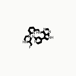 Nc1cc(-c2c[nH]c3ncnc(NCc4cccc(N5CCNC(CF)C5)n4)c23)ccn1